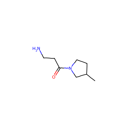 CC1CCN(C(=O)CCN)C1